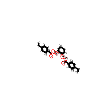 CCc1ccc(C(=O)OOC2=C(OOC(=O)c3ccc(CC)cc3)CCCC2)cc1